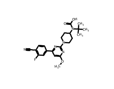 COc1cc(-c2ccc(C#N)c(F)c2)nc(N2CCC(N(C(=O)O)C(C)(C)C)CC2)n1